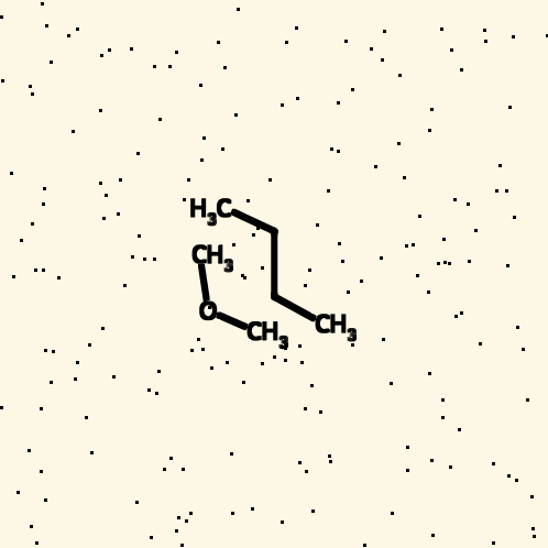 CCCC.COC